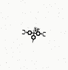 CCN(CC)c1ccc(C(O[Cl+3]([O-])([O-])[O-])(c2ccc(F)cc2)c2ccc(N(CC)CC)cc2)cc1